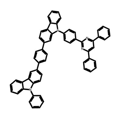 c1ccc(-c2cc(-c3ccccc3)nc(-c3ccc(-n4c5ccccc5c5ccc(-c6ccc(-c7ccc8c(c7)c7ccccc7n8-c7ccccc7)cc6)cc54)cc3)n2)cc1